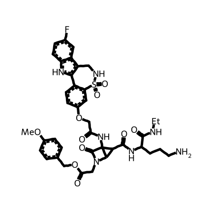 CCNC(=O)C(CCCN)NC(=O)C1C2N(CC(=O)OCc3ccc(OC)cc3)C(=O)C12NC(=O)COc1ccc2c(c1)S(=O)(=O)NCc1c-2[nH]c2ccc(F)cc12